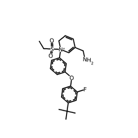 CCS(=O)(=O)[N+]1(c2cccc(Oc3ccc(C(C)(C)C)cc3F)c2)C=C(CN)C=CC1